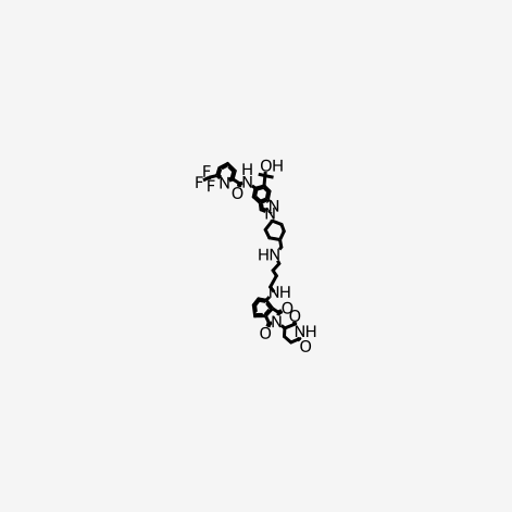 CC(C)(O)c1cc2nn(C3CCC(CNCCCCNc4cccc5c4C(=O)N(C4CCC(=O)NC4=O)C5=O)CC3)cc2cc1NC(=O)c1cccc(C(F)(F)F)n1